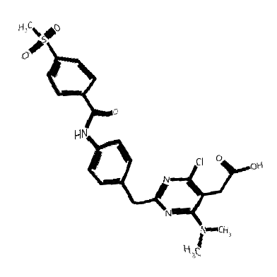 CN(C)c1nc(Cc2ccc(NC(=O)c3ccc(S(C)(=O)=O)cc3)cc2)nc(Cl)c1CC(=O)O